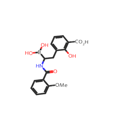 COc1ccccc1C(=O)NC(Cc1cccc(C(=O)O)c1O)B(O)O